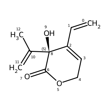 C=CC1=CCOC(=O)[C@]1(O)C(=C)C